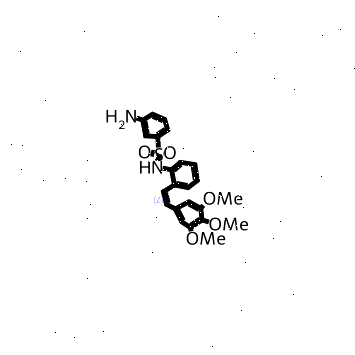 COc1cc(/C=C\c2ccccc2NS(=O)(=O)c2cccc(N)c2)cc(OC)c1OC